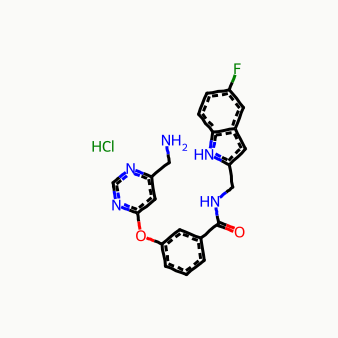 Cl.NCc1cc(Oc2cccc(C(=O)NCc3cc4cc(F)ccc4[nH]3)c2)ncn1